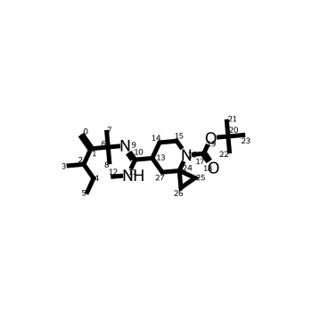 C=C(C(C)CC)C(C)(C)/N=C(\NC)C1CCN(C(=O)OC(C)(C)C)C2(CC2)C1